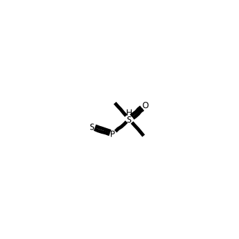 C[SH](C)(=O)P=S